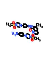 CS(=O)(=O)N1CCN(c2ccc(N)cc2)CC1.Cc1cc(C(=O)Nc2ccc(N3CCN(S(C)(=O)=O)CC3)cc2)c2ncccc2c1